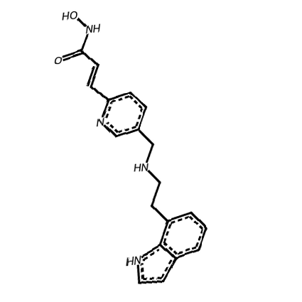 O=C(/C=C/c1ccc(CNCCc2cccc3cc[nH]c23)cn1)NO